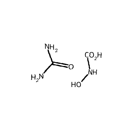 NC(N)=O.O=C(O)NO